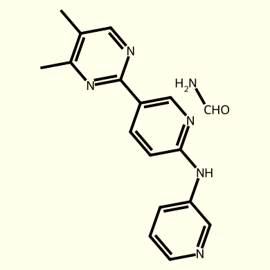 Cc1cnc(-c2ccc(Nc3cccnc3)nc2)nc1C.NC=O